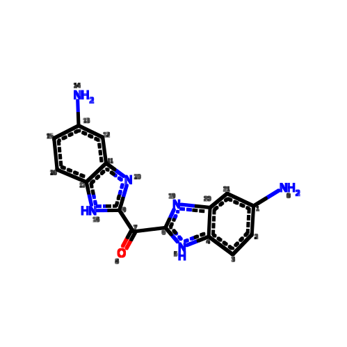 Nc1ccc2[nH]c(C(=O)c3nc4cc(N)ccc4[nH]3)nc2c1